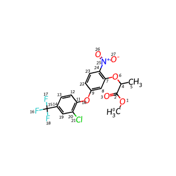 COC(=O)C(C)Oc1cc(Oc2ccc(C(F)(F)F)cc2Cl)ccc1[N+](=O)[O-]